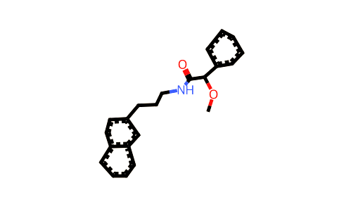 COC(C(=O)NCCCc1ccc2ccccc2c1)c1ccccc1